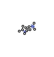 c1ccc(-c2cc(-c3ccccc3)cc(-n3c4ccccc4c4cc5c(cc43)C3(c4ccccc4-c4ccc(-c6nc(-c7ccccc7)nc(-c7ccccc7)n6)cc43)c3ccccc3-5)c2)cc1